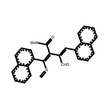 C=N/C(=C(C(=O)NC)\C(C=O)=C\c1cccc2ccccc12)c1cccc2ccccc12